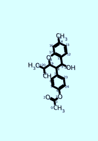 CC(=O)Oc1ccc(C2C(O)c3ccc(C)cc3OC2C(C)C)cc1